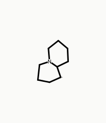 [CH]1CCCN2CCCCC12